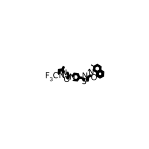 Cc1cc(C(F)(F)F)nn1CC(=O)N1CCC(c2nc(C(=O)N(C)[C@H]3c4ccccc4CC[C@@H]3C)cs2)CC1